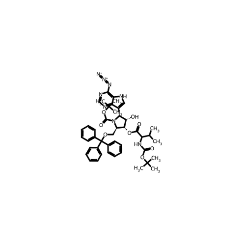 CC(C)C(NC(=O)OC(C)(C)C)C(=O)O[C@H]1[C@@H](O)[C@H](c2c[nH]c3c(N=[N+]=[N-])ncnc23)N(C(=O)OC(C)(C)C)[C@@H]1COC(c1ccccc1)(c1ccccc1)c1ccccc1